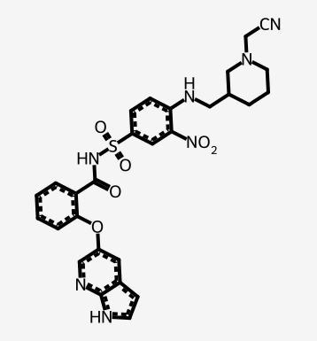 N#CCN1CCCC(CNc2ccc(S(=O)(=O)NC(=O)c3ccccc3Oc3cnc4[nH]ccc4c3)cc2[N+](=O)[O-])C1